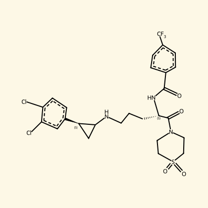 O=C(N[C@@H](CCCNC1C[C@H]1c1ccc(Cl)c(Cl)c1)C(=O)N1CCS(=O)(=O)CC1)c1ccc(C(F)(F)F)cc1